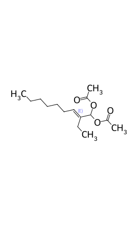 CCCCCC/C=C(\CC)C(OC(C)=O)OC(C)=O